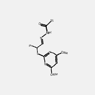 CCC(=O)N/N=C/C(Sc1nc(OC)cc(OC)n1)C(C)C